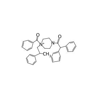 CC(C[N+]1(C(=O)c2ccccc2)CCN(C(=O)C(c2ccccc2)c2ccccc2)CC1)c1ccccc1